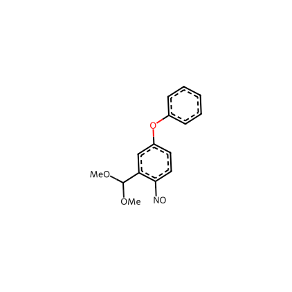 COC(OC)c1cc(Oc2ccccc2)ccc1N=O